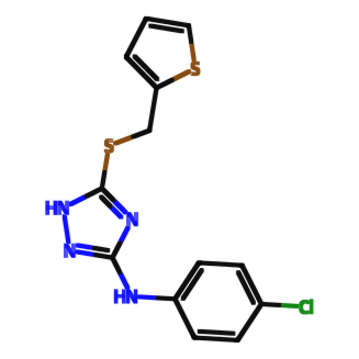 Clc1ccc(Nc2n[nH]c(SCc3cccs3)n2)cc1